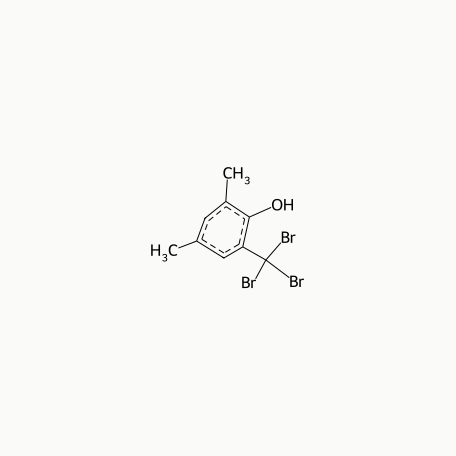 Cc1cc(C)c(O)c(C(Br)(Br)Br)c1